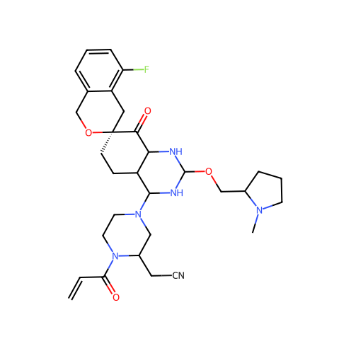 C=CC(=O)N1CCN(C2NC(OCC3CCCN3C)NC3C(=O)[C@]4(CCC32)Cc2c(F)cccc2CO4)CC1CC#N